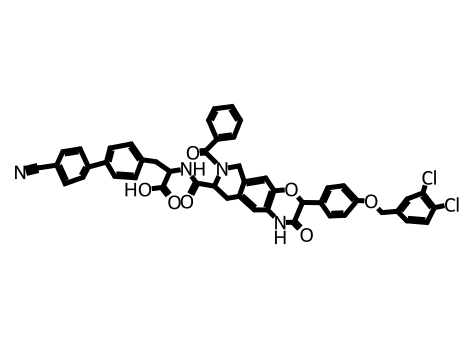 N#Cc1ccc(-c2ccc(CC(NC(=O)C3Cc4cc5c(cc4CN3C(=O)c3ccccc3)OC(c3ccc(OCc4ccc(Cl)c(Cl)c4)cc3)C(=O)N5)C(=O)O)cc2)cc1